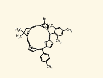 Cc1ccc(-c2c3nc(c(-c4c(C)cc(C)cc4C)c4cc(Br)c(cc5nc(cc6ccc2[nH]6)C(C)(C)C5)[nH]4)C=C3)cc1